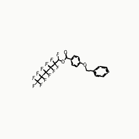 O=C(OC(F)C(F)(F)C(F)(F)C(F)(F)C(F)(F)C(F)(F)F)c1ccc(OCc2ccccc2)cc1